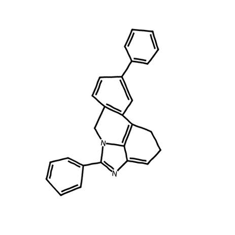 C1=c2nc(-c3ccccc3)n3c2=C(CC1)c1cc(-c2ccccc2)ccc1C3